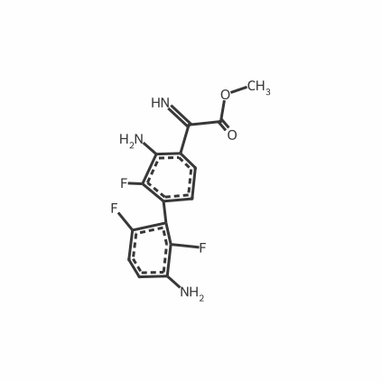 COC(=O)C(=N)c1ccc(-c2c(F)ccc(N)c2F)c(F)c1N